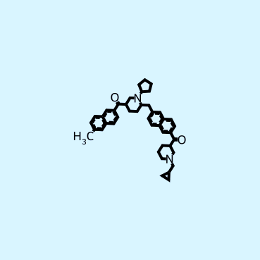 Cc1ccc2cc(C(=O)C3CCC(Cc4ccc5cc(C(=O)C6CCCN(CC7CC7)C6)ccc5c4)N(C4CCCC4)C3)ccc2c1